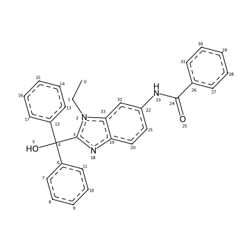 CCn1c(C(O)(c2ccccc2)c2ccccc2)nc2ccc(NC(=O)c3ccccc3)cc21